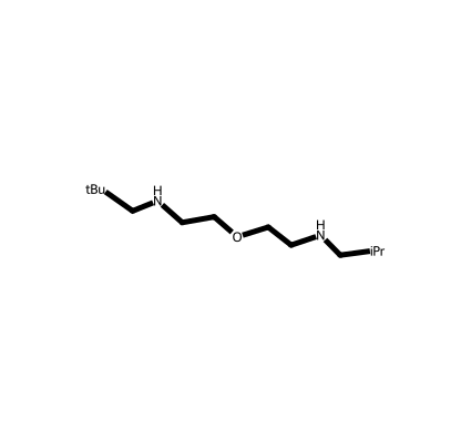 CC(C)CNCCOCCNCC(C)(C)C